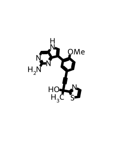 COc1ccc(C#CC(C)(O)c2nccs2)cc1-c1c[nH]c2cnc(N)nc12